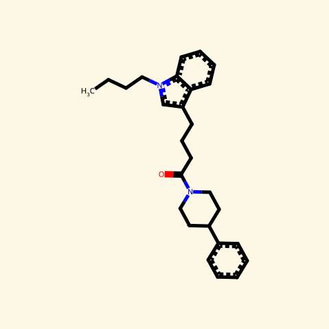 CCCCn1cc(CCCC(=O)N2C[CH][C](c3ccccc3)CC2)c2ccccc21